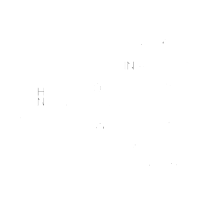 C1CCNCC1.COC(=O)C(c1ccccc1)C1CCCCN1